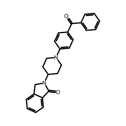 O=C(c1ccccc1)c1ccc(N2CCC(N3Cc4ccccc4C3=O)CC2)cc1